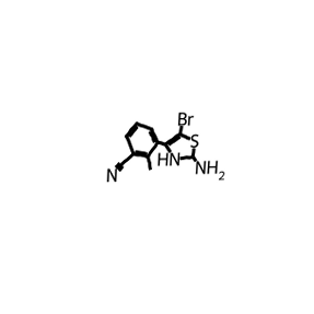 Cc1c(C#N)cccc1C1=C(Br)SC(N)N1